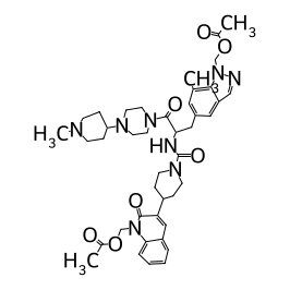 CC(=O)OCn1ncc2cc(CC(NC(=O)N3CCC(c4cc5ccccc5n(COC(C)=O)c4=O)CC3)C(=O)N3CCN(C4CCN(C)CC4)CC3)cc(C)c21